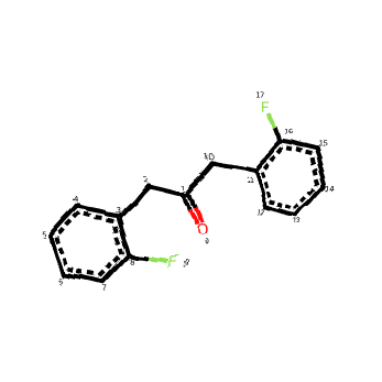 O=C(Cc1ccccc1F)Cc1ccccc1F